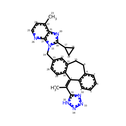 C/C(=C1/c2ccccc2CCc2cc(Cn3c(C4CC4)nc4c(C)ccnc43)ccc21)c1nnn[nH]1